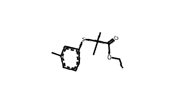 CCOC(=O)C(C)(C)Sc1cccc(C)c1